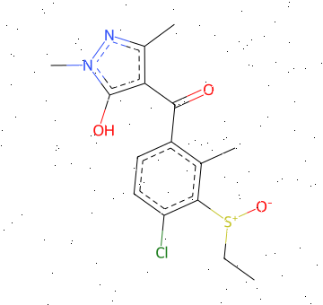 CC[S+]([O-])c1c(Cl)ccc(C(=O)c2c(C)nn(C)c2O)c1C